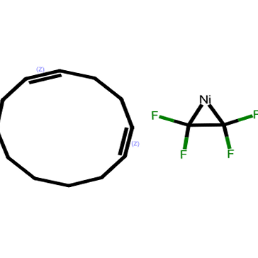 C1=C\CCCCCC/C=C\CC/1.F[C]1(F)[Ni][C]1(F)F